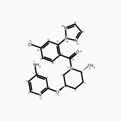 C[C@@H]1CC[C@@H](Oc2cc(N)ccn2)CN1C(=O)c1ccc(Cl)cc1-n1nccn1